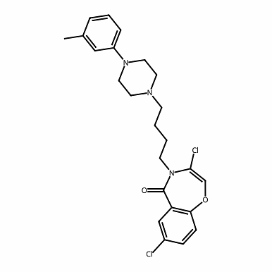 Cc1cccc(N2CCN(CCCCN3C(=O)c4cc(Cl)ccc4OC=C3Cl)CC2)c1